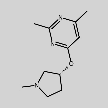 Cc1cc(O[C@@H]2CCN(I)C2)nc(C)n1